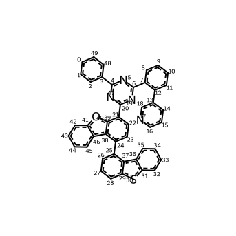 c1ccc(-c2nc(-c3ccccc3-c3cccnc3)nc(-c3ccc(-c4cccc5sc6ccccc6c45)c4c3oc3ccccc34)n2)cc1